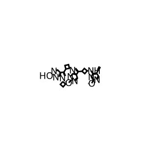 C#Cc1cnc(OC)nc1NC1CC(c2cn(C3CCC3c3cn(C4CCC4)c4nc(O)ncc34)c3nc(OC)ncc23)C1